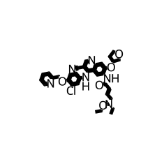 CCON(CC)CC=CC(=O)Nc1cc2c(Nc3ccc(OCc4ccccn4)c(Cl)c3)c(C#N)cnc2cc1OC1CCOC1